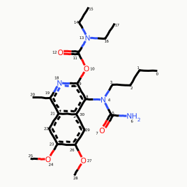 CCCCN(C(N)=O)c1c(OC(=O)N(CC)CC)nc(C)c2cc(OC)c(OC)cc12